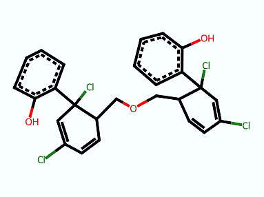 Oc1ccccc1C1(Cl)C=C(Cl)C=CC1COCC1C=CC(Cl)=CC1(Cl)c1ccccc1O